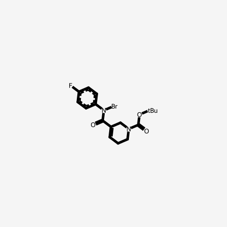 CC(C)(C)OC(=O)N1CCC=C(C(=O)N(Br)c2ccc(F)cc2)C1